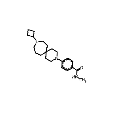 CNC(=O)c1ccc(N2CCC3(CCCN(C4CCC4)CC3)CC2)cc1